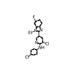 CCn1c(-c2cnc(Nc3ccc(Cl)cc3)c(Cl)c2)nc2ccc(F)cc21